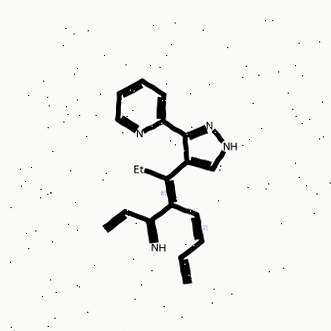 C=C/C=C\C(C(=N)C=C)=C(\CC)c1c[nH]nc1-c1ccccn1